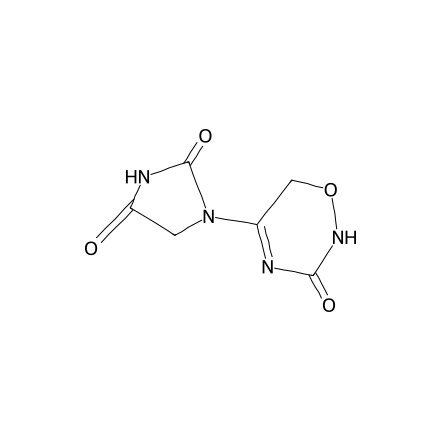 O=C1CN(C2=NC(=O)NOC2)C(=O)N1